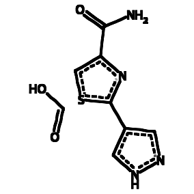 NC(=O)c1csc(-c2cn[nH]c2)n1.O=CO